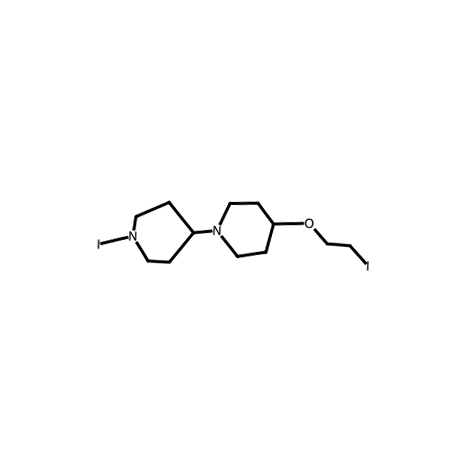 ICCOC1CCN(C2CCN(I)CC2)CC1